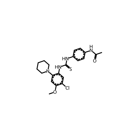 COc1cc(N2CCCCC2)c(NC(=S)Nc2ccc(NC(C)=O)cc2)cc1Cl